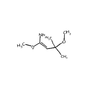 CO/C(N)=C/C(C)(C)OC